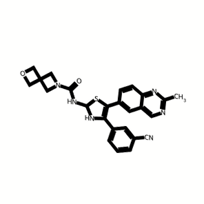 Cc1ncc2cc(C3=C(c4cccc(C#N)c4)NC(NC(=O)N4CC5(COC5)C4)S3)ccc2n1